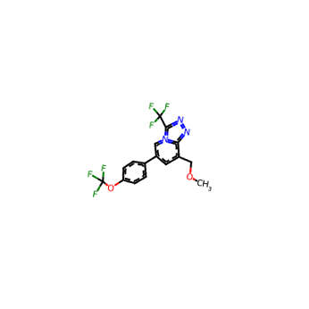 COCc1cc(-c2ccc(OC(F)(F)F)cc2)cn2c(C(F)(F)F)nnc12